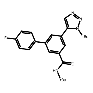 CC(C)(C)NC(=O)c1cc(-c2ccc(F)cc2)cc(-c2cnnn2C(C)(C)C)c1